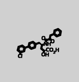 O=C(Cc1ccccc1)C(=O)N[C@H](Cc1ccc(-c2cccc(Cl)c2)cc1)C[C@@H](O)C(=O)O